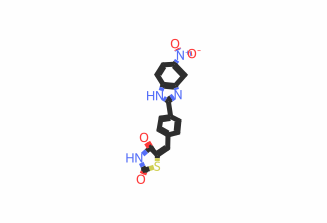 O=C1NC(=O)/C(=C\c2ccc(-c3nc4cc([N+](=O)[O-])ccc4[nH]3)cc2)S1